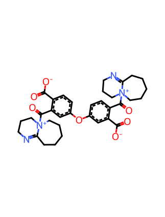 O=C([O-])c1cc(Oc2ccc(C(=O)[O-])c(C(=O)[N+]34CCCCCC3=NCCC4)c2)ccc1C(=O)[N+]12CCCCCC1=NCCC2